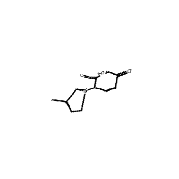 CC1CCN(C2CCC(=O)NC2=O)C1